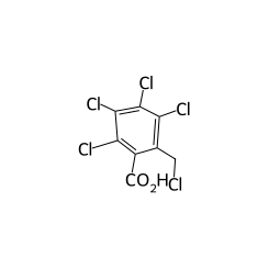 O=C(O)c1c(Cl)c(Cl)c(Cl)c(Cl)c1CCl